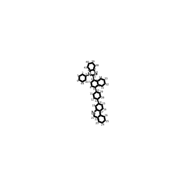 c1ccc(-n2c(-c3ccc(-c4ccc(-c5ccc6c(c5)ncc5ccccc56)cc4)c4ccccc34)nc3ccccc32)cc1